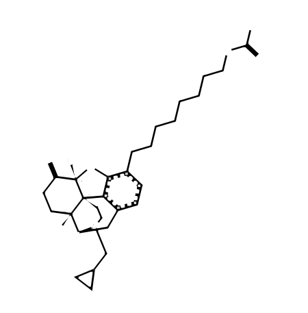 O=C(O)OCCCCCCCCc1ccc2c3c1O[C@H]1C(=O)CC[C@@]4(O)C(C2)N(CC2CC2)CC[C@]314